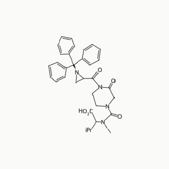 CC(C)C(C(=O)O)N(C)C(=O)N1CCN(C(=O)C2C[N@@]2C(c2ccccc2)(c2ccccc2)c2ccccc2)C(=O)C1